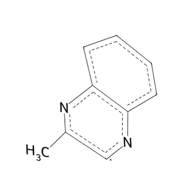 Cc1[c]nc2ccccc2n1